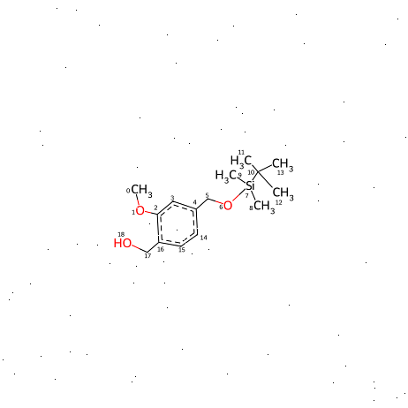 COc1cc(CO[Si](C)(C)C(C)(C)C)ccc1CO